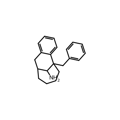 NC1C2CCCCC1(Cc1ccccc1)c1ccccc1C2